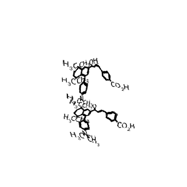 CN(C)c1ccc(-c2cc(C(=O)C=Cc3ccc(C(=O)O)cc3)cc3c2C(C)(C)CCC3(C)C)cc1.CN(C)c1ccc(-c2cc(C(O)C=Cc3ccc(C(=O)O)cc3)cc3c2C(C)(C)CCC3(C)C)cc1